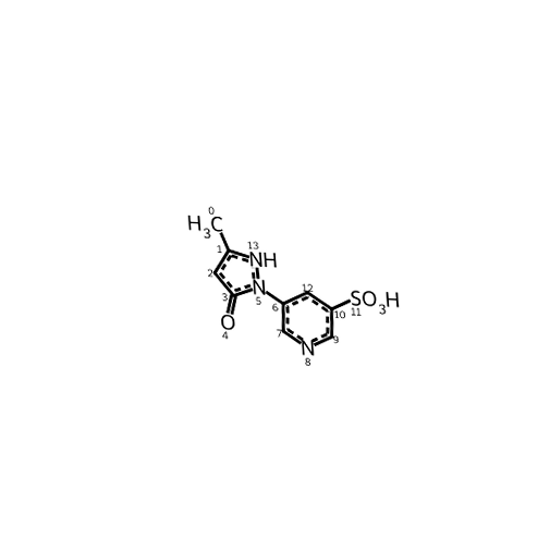 Cc1cc(=O)n(-c2cncc(S(=O)(=O)O)c2)[nH]1